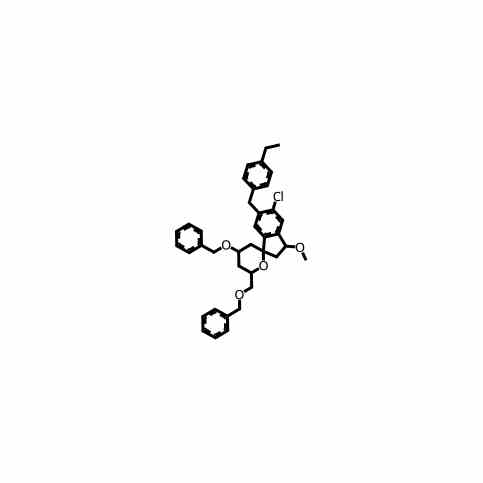 CCc1ccc(Cc2cc3c(cc2Cl)C(OC)CC32CC(OCc3ccccc3)CC(COCc3ccccc3)O2)cc1